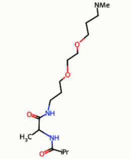 CNCCCOCCOCCCNC(=O)C(C)NC(=O)C(C)C